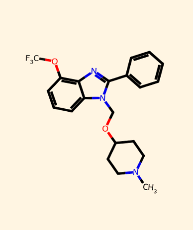 CN1CCC(OCn2c(-c3ccccc3)nc3c(OC(F)(F)F)cccc32)CC1